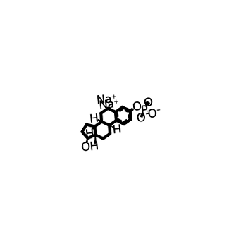 C[C@]12CC[C@@H]3c4ccc(OP(=O)([O-])[O-])cc4CC[C@H]3[C@@H]1CC[C@@H]2O.[Na+].[Na+]